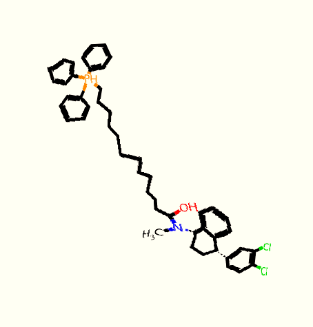 CN(C(O)CCCCCCCCCCCC[PH](c1ccccc1)(c1ccccc1)c1ccccc1)[C@H]1CC[C@@H](c2ccc(Cl)c(Cl)c2)c2ccccc21